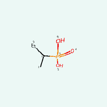 [CH2]CC(C)P(=O)(O)O